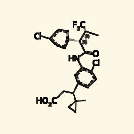 C[C@H]([C@H](C(=O)Nc1cc(C(CC(=O)O)C2(C)CC2)ccc1Cl)c1ccc(Cl)cc1)C(F)(F)F